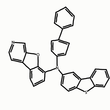 c1ccc(-c2ccc(N(c3ccc4sc5ccccc5c4c3)c3cccc4c3oc3cnccc34)cc2)cc1